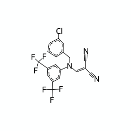 N#CC(C#N)=CN(Cc1cccc(Cl)c1)c1cc(C(F)(F)F)cc(C(F)(F)F)c1